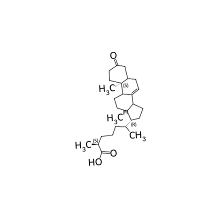 CC(CCC[C@H](C)C(=O)O)[C@H]1CCC2C3=CCC4CC(=O)CC[C@]4(C)C3CC[C@@]21C